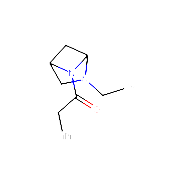 CC(C)CC(=O)N1C2CC1N(CC(C)C)C2